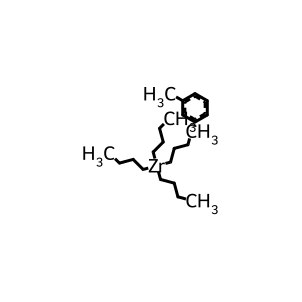 CCC[CH2][Zr]([CH2]CCC)([CH2]CCC)[CH2]CCC.Cc1ccccc1